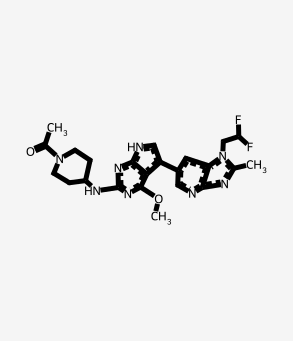 COc1nc(NC2CCN(C(C)=O)CC2)nc2[nH]cc(-c3cnc4nc(C)n(CC(F)F)c4c3)c12